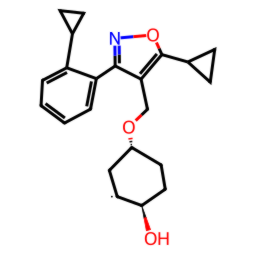 O[C@H]1[CH]C[C@H](OCc2c(-c3ccccc3C3CC3)noc2C2CC2)CC1